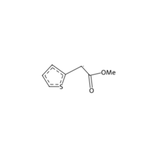 COC(=O)[CH]c1cccs1